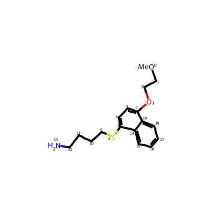 COCCOc1ccc(SCCCCN)c2ccccc12